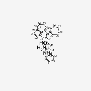 NC(N)C(Cc1ccccc1)CC(O)CC(Cc1ccccc1)C(C1CCCCCC1)C1CCCCCC1